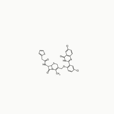 CC1=C(COc2ccc(Cl)cc2-c2nc3ccc(Cl)cc3c(=O)[nH]2)CSC2C(NC(=O)Cc3cccs3)C(=O)N12